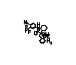 COc1ccccc1CC(O)(C(=O)Nc1ccc(C#N)c(C(F)(F)F)c1)C1CCCCC1